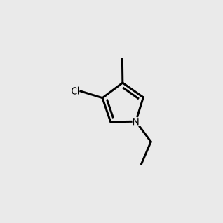 CCn1cc(C)c(Cl)c1